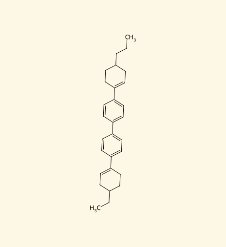 CCCC1CC=C(c2ccc(-c3ccc(C4=CCC(CC)CC4)cc3)cc2)CC1